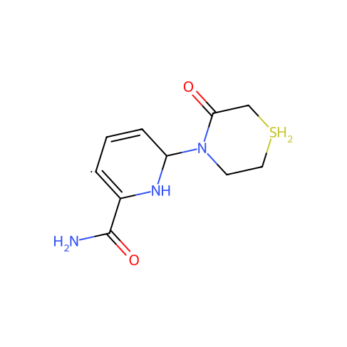 NC(=O)C1=[C]C=CC(N2CC[SH2]CC2=O)N1